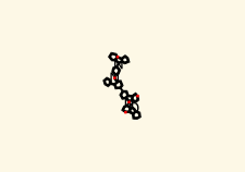 c1ccc2c(c1)oc1c(-n3c4ccccc4c4cc(-c5ccc6c(c5)c5ccccc5n6-c5ccc(-n6c7ccccc7c7ccccc76)cc5)ccc43)cccc12